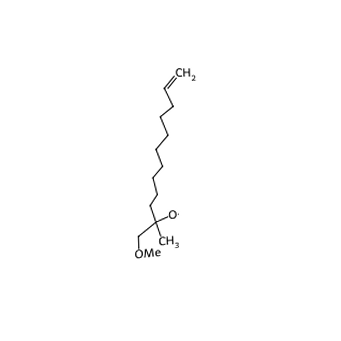 C=CCCCCCCCCC(C)([O])COC